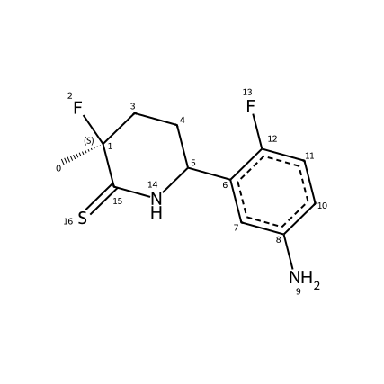 C[C@]1(F)CCC(c2cc(N)ccc2F)NC1=S